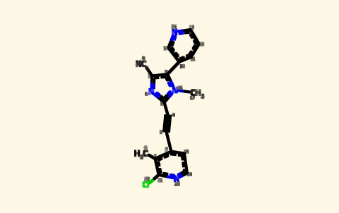 Cc1c(C#Cc2nc(C#N)c(-c3cccnc3)n2C)ccnc1Cl